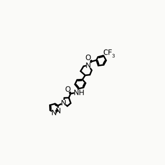 O=C(Nc1ccc(C2CCN(C(=O)c3cccc(C(F)(F)F)c3)CC2)cc1)C1CCN(c2cccnn2)C1